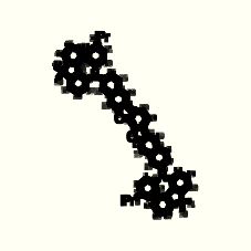 CC(C)c1ccc(N(c2ccc3cc4c(cc3c2)oc2c4ccc3c4cc5ccc(N(c6ccc(C(C)C)cc6)c6cccc7c6-c6ccccc6C7(C)C)cc5cc4oc32)c2cccc3c2-c2ccccc2C3(C)C)cc1